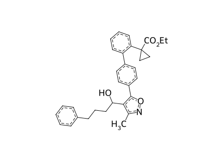 CCOC(=O)C1(c2ccccc2-c2ccc(-c3onc(C)c3C(O)CCCc3ccccc3)cc2)CC1